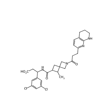 CC1C(C(=O)NC(CC(=O)O)c2cc(Cl)cc(Cl)c2)CC12CN(C(=O)CCc1ccc3c(n1)NCCC3)C2